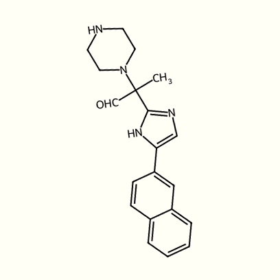 CC(C=O)(c1ncc(-c2ccc3ccccc3c2)[nH]1)N1CCNCC1